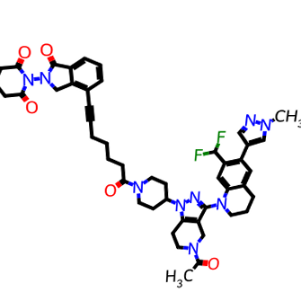 CC(=O)N1CCc2c(c(N3CCCc4cc(-c5cnn(C)c5)c(C(F)F)cc43)nn2C2CCN(C(=O)CCCCC#Cc3cccc4c3CN(N3C(=O)CCCC3=O)C4=O)CC2)C1